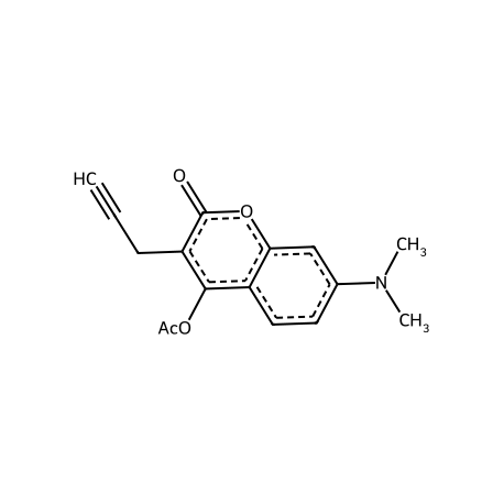 C#CCc1c(OC(C)=O)c2ccc(N(C)C)cc2oc1=O